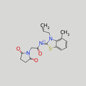 C=CCn1/c(=N/C(=O)CN2C(=O)CCC2=O)sc2cccc(C)c21